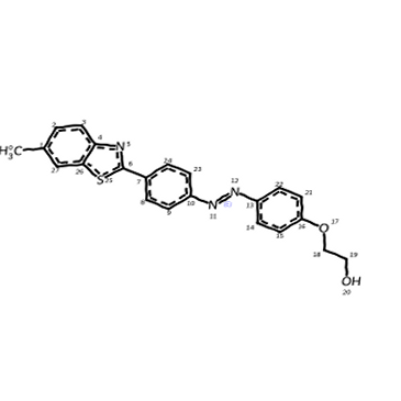 Cc1ccc2nc(-c3ccc(/N=N/c4ccc(OCCO)cc4)cc3)sc2c1